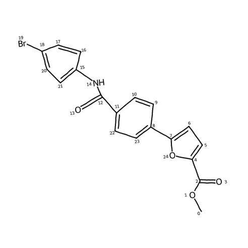 COC(=O)c1ccc(-c2ccc(C(=O)Nc3ccc(Br)cc3)cc2)o1